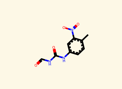 Cc1ccc(NC(=O)NC=O)cc1[N+](=O)[O-]